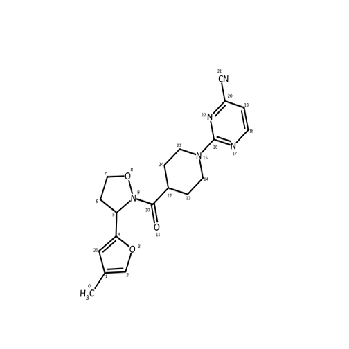 Cc1coc(C2CCON2C(=O)C2CCN(c3nccc(C#N)n3)CC2)c1